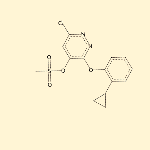 CS(=O)(=O)Oc1cc(Cl)nnc1Oc1ccccc1C1CC1